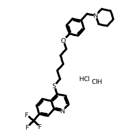 Cl.Cl.FC(F)(F)c1ccc2c(SCCCCCOc3ccc(CN4CCCCC4)cc3)ccnc2c1